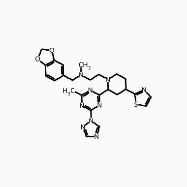 Cc1nc(C2CC(c3nccs3)CCN2CCN(C)Cc2ccc3c(c2)OCO3)nc(-n2cncn2)n1